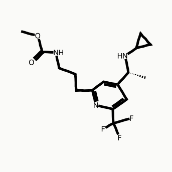 COC(=O)NCCCc1cc([C@@H](C)NC2CC2)cc(C(F)(F)F)n1